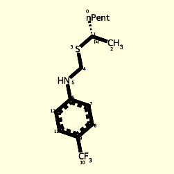 CCCCC[C@H](C)SCNc1ccc(C(F)(F)F)cc1